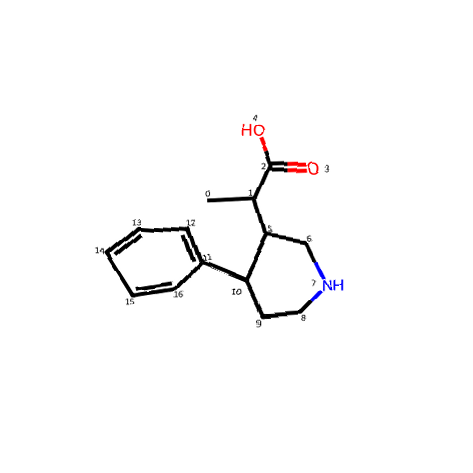 CC(C(=O)O)C1CNCCC1c1ccccc1